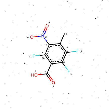 Cc1c(F)c(F)c(C(=O)O)c(F)c1[N+](=O)[O-]